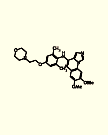 COc1cc2nc(Nc3c(C)cc(OCCN4CCOCC4)cc3C)c3cncn3c2cc1OC